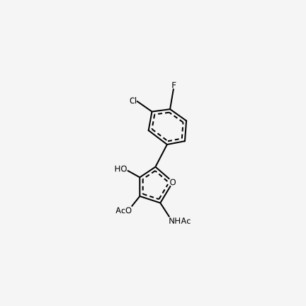 CC(=O)Nc1oc(-c2ccc(F)c(Cl)c2)c(O)c1OC(C)=O